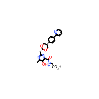 Cc1nc(C[C@H]2OC[C@H](C3C=CC(c4ccccn4)=CC3)CO2)nc(C(=O)NCC(=O)O)c1O